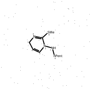 CCCCCNN1C=CCN=C1SC